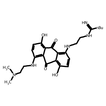 CCCCC(=N)NCCNc1ccc(O)c2c1C(=O)c1c(O)ccc(NCCN(C)C)c1C2=O